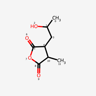 CC(O)CC1C(=O)OC(=O)C1C